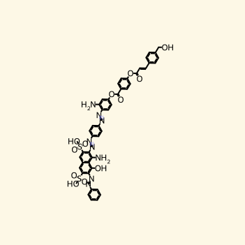 Nc1cc(OC(=O)c2ccc(OC(=O)C=Cc3ccc(CO)cc3)cc2)ccc1/N=N/c1ccc(/N=N/c2c(S(=O)(=O)O)cc3cc(S(=O)(=O)O)c(N=Nc4ccccc4)c(O)c3c2N)cc1